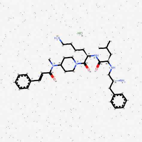 CC(C)C[C@@H](NC[C@H](N)Cc1ccccc1)C(=O)N[C@H](CCCCN)C(=O)N1CCC(N(C)C(=O)/C=C/c2ccccc2)CC1.Cl